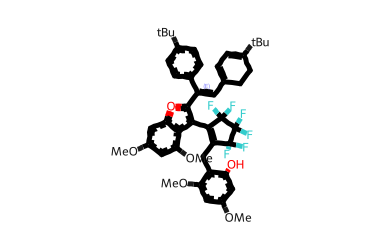 COc1cc(O)c(CC2=C(c3c(/C(=C/C4=CC=C(C(C)(C)C)CC4)c4ccc(C(C)(C)C)cc4)oc4cc(OC)cc(OC)c34)C(F)(F)C(F)(F)C2(F)F)c(OC)c1